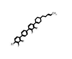 C/C=C/CCC1CC=C(c2ccc(-c3ccc(-c4ccc(CC)c(F)c4F)cc3)c(F)c2F)CC1